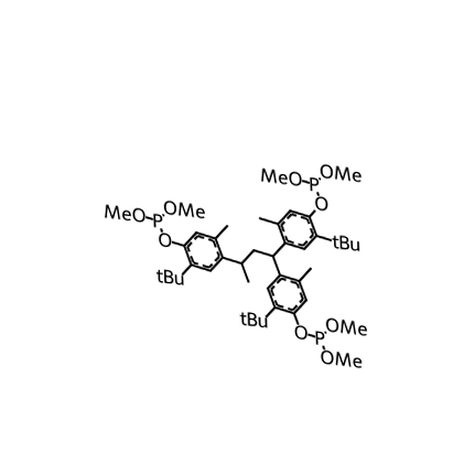 COP(OC)Oc1cc(C)c(C(C)CC(c2cc(C(C)(C)C)c(OP(OC)OC)cc2C)c2cc(C(C)(C)C)c(OP(OC)OC)cc2C)cc1C(C)(C)C